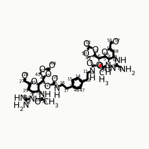 CC(=O)N[C@H]1[C@H]([C@H](OC(=O)NCCc2ccc(CCNC(=O)O[C@@H]([C@@H]3OC(C=O)=C[C@H](NC(=N)N)[C@H]3NC(C)=O)[C@H]3COC(=O)O3)cc2)[C@H]2COC(=O)O2)OC(C=O)=C[C@@H]1NC(=N)N